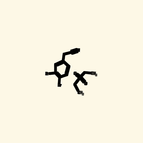 CCS(=O)(=O)CC.N#CCc1ccc(Br)c(Br)c1